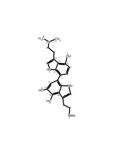 CNCCc1c[nH]c2c(-c3ccc(O)c4c(CCN(C)C)c[nH]c34)cc(O)c(O)c12